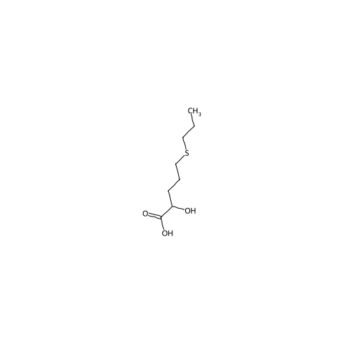 CCCSCCCC(O)C(=O)O